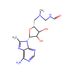 Cc1nc2c(N)ncnc2n1[C@@H]1O[C@H](CN(C)CNC=O)C(O)C1O